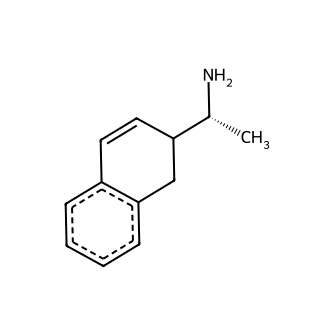 C[C@@H](N)C1C=Cc2ccccc2C1